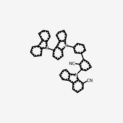 N#Cc1c(-c2cccc(-n3c4ccccc4c4c(-n5c6ccccc6c6ccccc65)cccc43)c2)cccc1-n1c2ccccc2c2cccc(C#N)c21